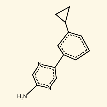 Nc1cnc(-c2cccc(C3CC3)c2)cn1